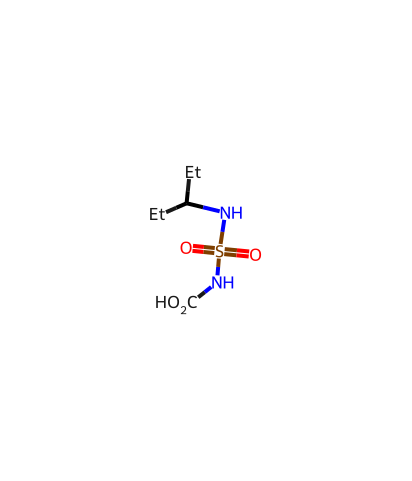 CCC(CC)NS(=O)(=O)NC(=O)O